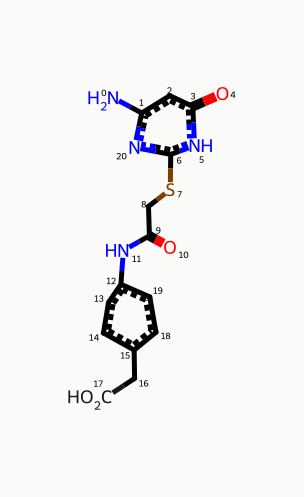 Nc1cc(=O)[nH]c(SCC(=O)Nc2ccc(CC(=O)O)cc2)n1